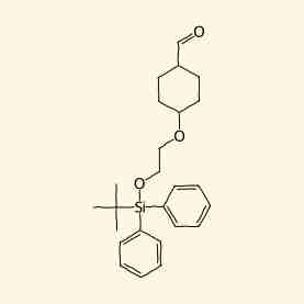 CC(C)(C)[Si](OCCOC1CCC(C=O)CC1)(c1ccccc1)c1ccccc1